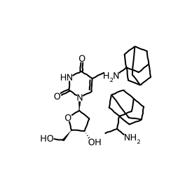 CC(N)C12CC3CC(CC(C3)C1)C2.Cc1cn([C@H]2C[C@H](O)[C@@H](CO)O2)c(=O)[nH]c1=O.NC12CC3CC(CC(C3)C1)C2